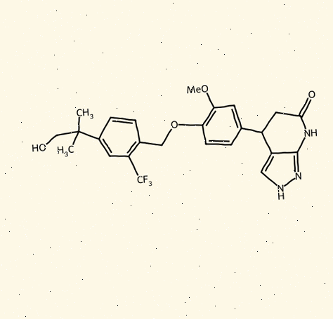 COc1cc(C2CC(=O)Nc3n[nH]cc32)ccc1OCc1ccc(C(C)(C)CO)cc1C(F)(F)F